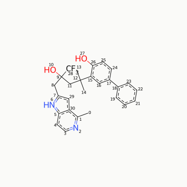 Cc1nccc2[nH]c(CC(O)(CC(C)(C)c3cc(-c4ccccc4)ccc3O)C(F)(F)F)cc12